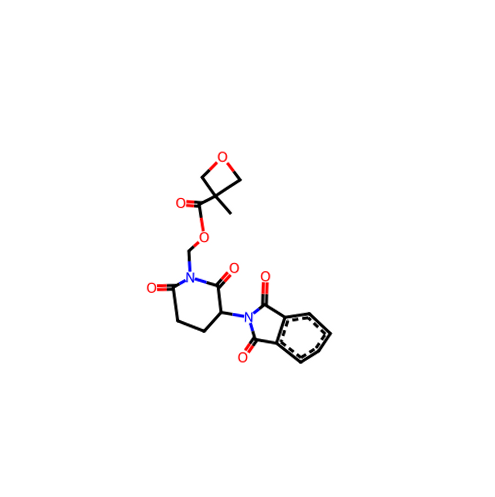 CC1(C(=O)OCN2C(=O)CCC(N3C(=O)c4ccccc4C3=O)C2=O)COC1